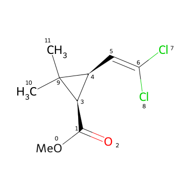 COC(=O)[C@@H]1[C@H](C=C(Cl)Cl)C1(C)C